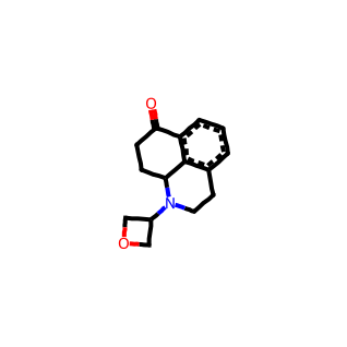 O=C1CCC2c3c(cccc31)CCN2C1COC1